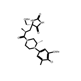 COC[C@]1(C[C@H](C)C(=O)N2CCN(c3cc(C)c(Cl)c(OC)c3)[C@@H](C)C2)NC(=O)NC1=O